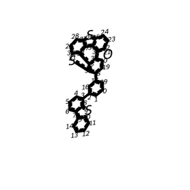 c1cc(-c2cccc3c2sc2ccccc23)cc(-c2cc3oc4ccc5sc6ccc7sc2c2c3c4c5c6c72)c1